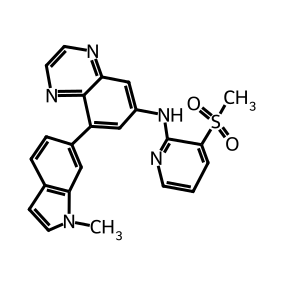 Cn1ccc2ccc(-c3cc(Nc4ncccc4S(C)(=O)=O)cc4nccnc34)cc21